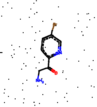 NCC(=O)c1ccc(Br)cn1